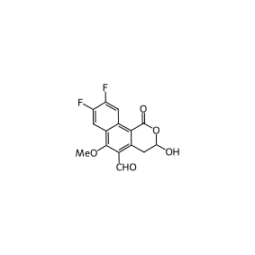 COc1c(C=O)c2c(c3cc(F)c(F)cc13)C(=O)OC(O)C2